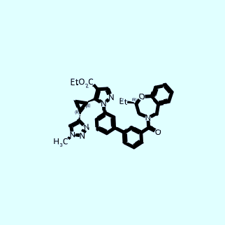 CCOC(=O)c1cnn(-c2cccc(-c3cccc(C(=O)N4Cc5ccccc5O[C@H](CC)C4)c3)c2)c1[C@@H]1C[C@H]1c1cn(C)nn1